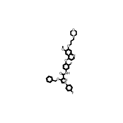 COc1cc2c(Oc3ccc(NC(=O)c4nn(-c5ccc(F)cc5)cc4OCc4ccccc4)cc3F)ccnc2cc1OCCCN1CCOCC1